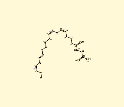 CC/C=C\CC=CCC=CC/C=C\C/C=C\CCCC(=O)NCC(=O)O